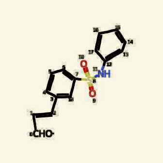 O=[C]/C=C/c1cccc(S(=O)(=O)Nc2ccccc2)c1